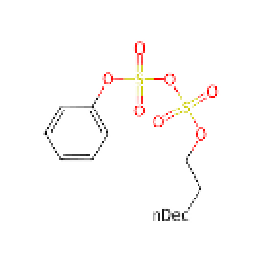 CCCCCCCCCCCCOS(=O)(=O)OS(=O)(=O)Oc1ccccc1